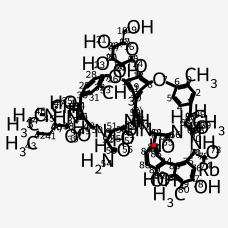 Cc1cc2ccc1Oc1cc3cc(c1O[C@@H]1O[C@H](CO)[C@@H](O)[C@H](O)[C@H]1O)Oc1ccc(cc1C)[C@@H](O)[C@@H](NC(=O)[C@@H](CC(C)C)N(C)C)C(=O)N[C@@H](CC(N)=O)C(=O)N[C@H]3C(=O)N[C@H]1C(=O)N[C@H](C(=O)N[C@@H]([C](=O)[Rb])c3cc(O)c(C)c(O)c3-c3cc1ccc3O)[C@@H]2C